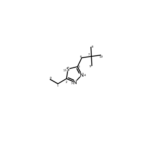 CCc1nnc(CC(C)(C)C)s1